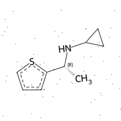 C[C@@H](NC1CC1)c1[c]ccs1